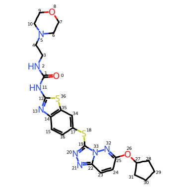 O=C(NCCN1CCOCC1)Nc1nc2ccc(Sc3nnc4ccc(OC5CCCC5)nn34)cc2s1